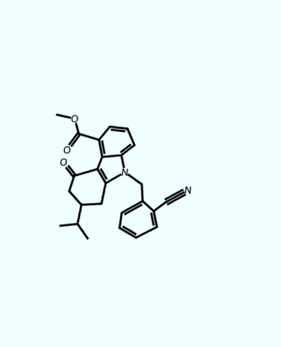 COC(=O)c1cccc2c1c1c(n2Cc2ccccc2C#N)CC(C(C)C)CC1=O